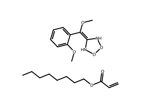 C=CC(=O)OCCCCCCCC.COC(=C1NOON1)c1ccccc1OC